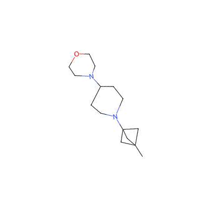 CC12CC(N3CCC(N4CCOCC4)CC3)(C1)C2